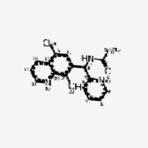 CCCC(=O)NC(c1ccccn1)c1cc(Cl)c2cccnc2c1O